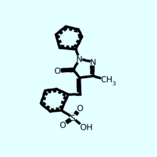 CC1=NN(c2ccccc2)C(=O)C1=Cc1ccccc1S(=O)(=O)O